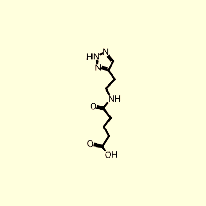 O=C(O)CCCC(=O)NCCc1cn[nH]n1